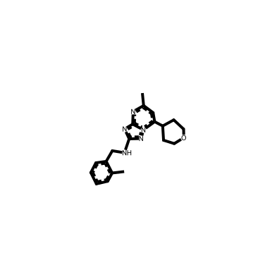 Cc1cc(C2CCOCC2)n2nc(NCc3ccccc3C)nc2n1